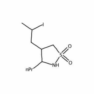 CCCC1NS(=O)(=O)CC1CC(C)I